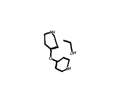 C1CC(OC2CCNCC2)CCN1.CCO